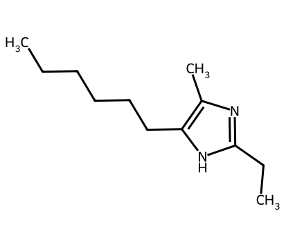 CCCCCCc1[nH]c(CC)nc1C